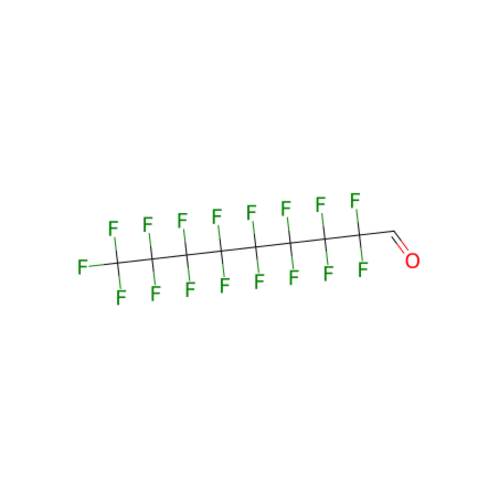 O=CC(F)(F)C(F)(F)C(F)(F)C(F)(F)C(F)(F)C(F)(F)C(F)(F)C(F)(F)F